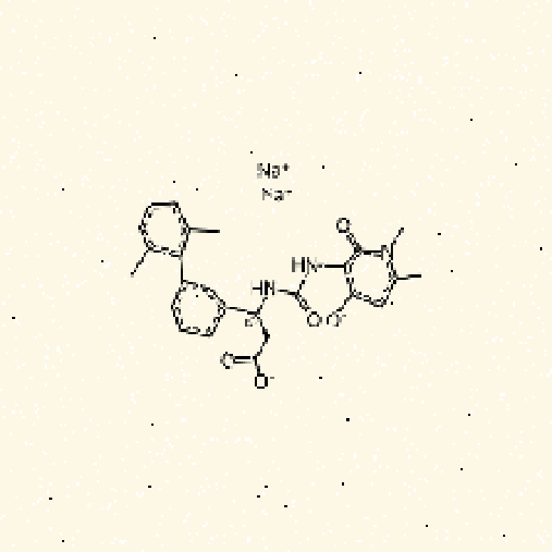 Cc1cccc(C)c1-c1cccc([C@H](CC(=O)[O-])NC(=O)Nc2c([O-])cc(C)n(C)c2=O)c1.[Na+].[Na+]